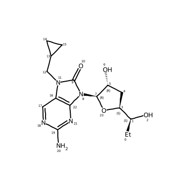 CC[C@H](O)[C@@H]1C[C@@H](O)[C@H](n2c(=O)n(CC3CC3)c3cnc(N)nc32)O1